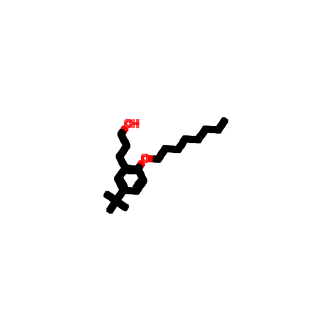 CCCCCCCCOc1ccc(C(C)(C)C)cc1CCCO